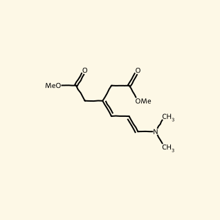 COC(=O)CC(=C/C=C/N(C)C)CC(=O)OC